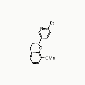 CCc1ccc(C2CCc3cccc(OC)c3O2)cn1